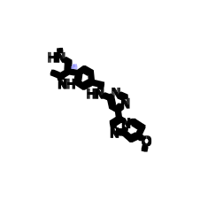 CN/C=C(\C(C)=N)c1ccc(CNc2cc(-c3cnc4cc(OC)ccn34)ncn2)cc1